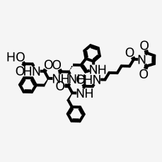 O=C(O)CNC(=O)[C@H](Cc1ccccc1)NC(=O)[C@H](Cc1c[nH]c2ccccc12)NC(=O)[C@H](Cc1ccccc1)NC(=O)CNCCCCCC(=O)N1C(=O)C=CC1=O